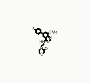 COc1cc(-c2ccc(F)cc2)cc2c(NCCN3CCOCC3=O)ncnc12